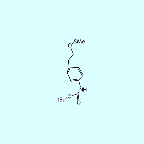 CSOCCc1ccc(NC(=O)OC(C)(C)C)cc1